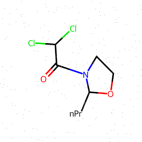 CCCC1OCCN1C(=O)C(Cl)Cl